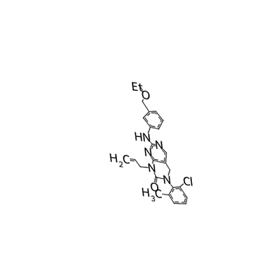 C=CCN1C(=O)N(c2c(C)cccc2Cl)Cc2cnc(Nc3cccc(COCC)c3)nc21